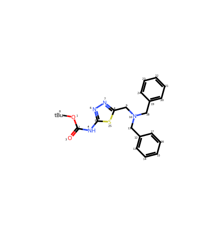 CC(C)(C)OC(=O)Nc1nnc(CN(Cc2ccccc2)Cc2ccccc2)s1